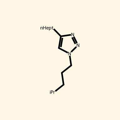 CCCCCCCc1cn(CCCC(C)C)nn1